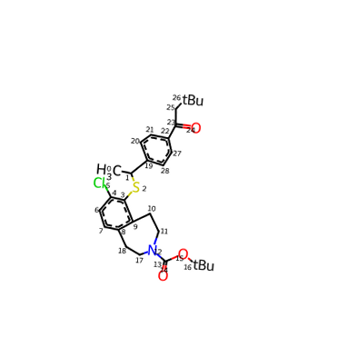 CC(Sc1c(Cl)ccc2c1CCN(C(=O)OC(C)(C)C)CC2)c1ccc(C(=O)CC(C)(C)C)cc1